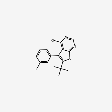 CC(C)(C)c1sc2ncnc(Cl)c2c1-c1cccc(F)c1